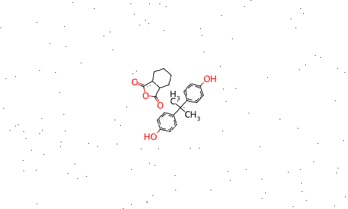 CC(C)(c1ccc(O)cc1)c1ccc(O)cc1.O=C1OC(=O)C2CCCCC12